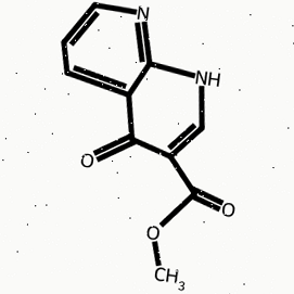 COC(=O)c1c[nH]c2ncccc2c1=O